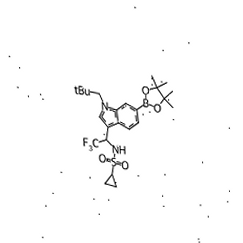 CC(C)(C)Cn1cc(C(NS(=O)(=O)C2CC2)C(F)(F)F)c2ccc(B3OC(C)(C)C(C)(C)O3)cc21